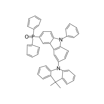 CC1(C)c2ccccc2N(c2ccc3c(c2)c2cc(P(=O)(c4ccccc4)c4ccccc4)ccc2n3-c2ccccc2)c2ccccc21